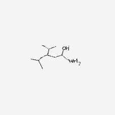 CC(C)C(CC(N)O)C(C)C